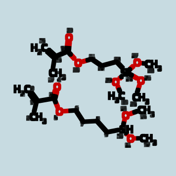 C=C(C)C(=O)OCCCC[SiH](OC)OC.C=C(C)C(=O)OCCC[Si](OC)(OC)OC